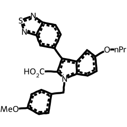 CCCOc1ccc2c(c1)c(-c1ccc3nsnc3c1)c(C(=O)O)n2Cc1ccc(OC)cc1